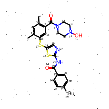 Cc1cc(C)c(C(=O)N2CCN(O)CC2)cc1Sc1cnc(NC(=O)c2ccc(C(C)(C)C)cc2)s1